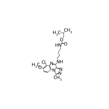 COc1ccc2c(nc(NCCCCNC(=O)OCC(C)C)c3nnc(C)n32)c1Cl